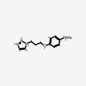 CNc1ccc(OCCCn2ccnn2)cc1